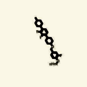 CCCCCCOc1ccc(COC2CCC(c3ccc(C4CCC(C)CC4)c(F)c3F)CC2)cc1F